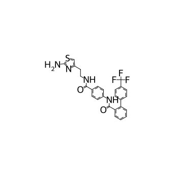 Nc1nc(CCNC(=O)c2ccc(NC(=O)c3ccccc3-c3ccc(C(F)(F)F)cc3)cc2)cs1